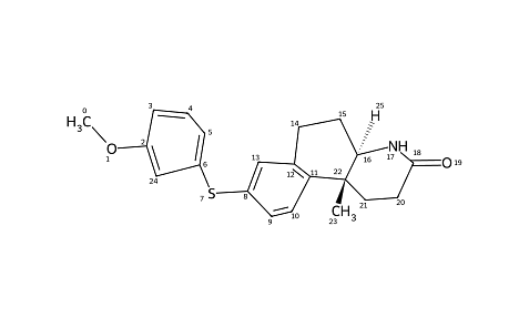 COc1cccc(Sc2ccc3c(c2)CC[C@H]2NC(=O)CC[C@]32C)c1